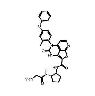 CNCC(=O)N[C@H]1CCC[C@@H]1NC(=O)c1sc2nccc3c2c1NC(=O)N3c1ccc(Oc2ccccc2)cc1C